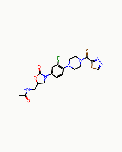 CC(=O)NCC1CN(c2ccc(N3CCN(C(=S)c4nncs4)CC3)c(F)c2)C(=O)O1